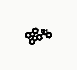 NN(c1ccccc1)c1ccc2c(c1)C1(c3ccccc3-c3ccccc31)c1ccccc1-2